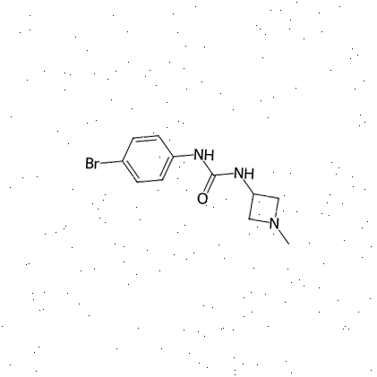 CN1CC(NC(=O)Nc2ccc(Br)cc2)C1